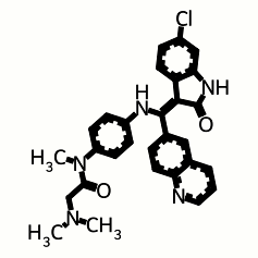 CN(C)CC(=O)N(C)c1ccc(NC(=C2C(=O)Nc3cc(Cl)ccc32)c2ccc3ncccc3c2)cc1